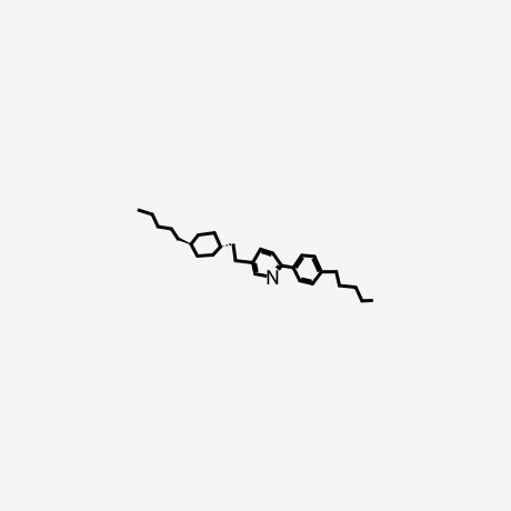 CCCCCc1ccc(-c2ccc(CC[C@H]3CC[C@H](CCCCC)CC3)cn2)cc1